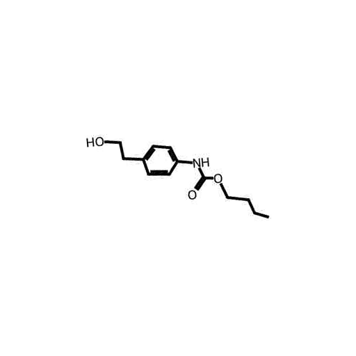 CCCCOC(=O)Nc1ccc(CCO)cc1